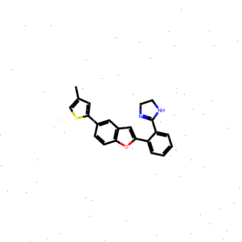 Cc1csc(-c2ccc3oc(-c4ccccc4C4=NCCN4)cc3c2)c1